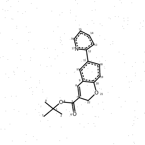 CC(C)(C)OC(=O)C1=Cc2cc(-c3ccccn3)ccc2OC1